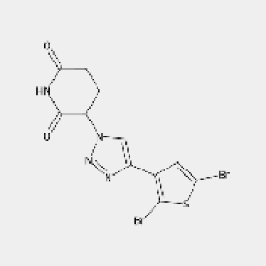 O=C1CCC(n2cc(-c3cc(Br)sc3Br)nn2)C(=O)N1